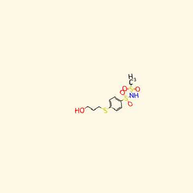 CS(=O)(=O)NS(=O)(=O)c1ccc(SCCCO)cc1